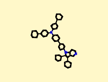 c1ccc(-c2ccc(N(c3ccc(-c4ccccc4)cc3)c3ccc(-c4ccc(-n5c(-c6ccccc6)c(-c6ccccc6)c6cnccc65)cc4)cc3)cc2)cc1